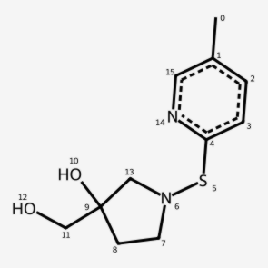 Cc1ccc(SN2CCC(O)(CO)C2)nc1